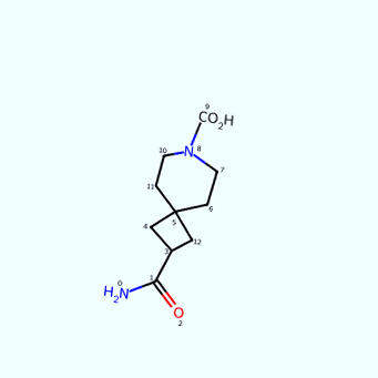 NC(=O)C1CC2(CCN(C(=O)O)CC2)C1